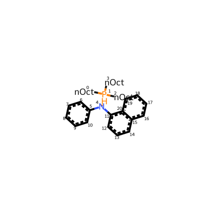 CCCCCCCC[PH](CCCCCCCC)(CCCCCCCC)N(c1ccccc1)c1cccc2ccccc12